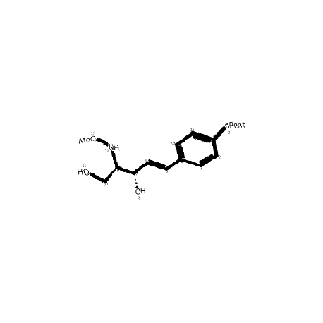 CCCCCc1ccc(/C=C/[C@H](O)[C@@H](CO)NOC)cc1